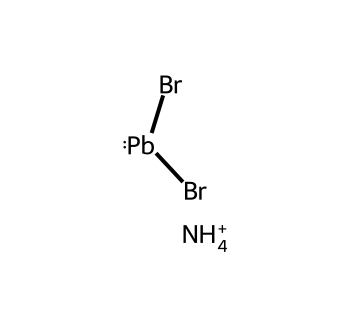 [Br][Pb][Br].[NH4+]